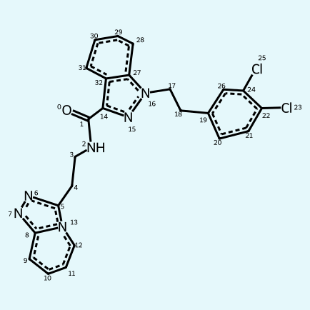 O=C(NCCc1nnc2ccccn12)c1nn(CCc2ccc(Cl)c(Cl)c2)c2ccccc12